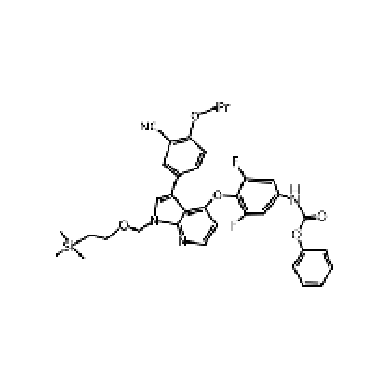 CC(C)Oc1ccc(-c2cn(COCC[Si](C)(C)C)c3nccc(Oc4c(F)cc(NC(=O)Oc5ccccc5)cc4F)c23)cc1C#N